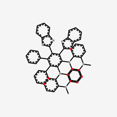 CN1c2ccccc2N(c2c(-c3ccccc3)c(-c3ccccc3)c(-c3nc4ccccc4s3)c(-c3nc4ccccc4s3)c2N2c3ccccc3N(C)c3ccccc32)c2ccccc21